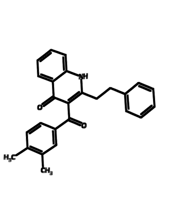 Cc1ccc(C(=O)c2c(CCc3ccccc3)[nH]c3ccccc3c2=O)cc1C